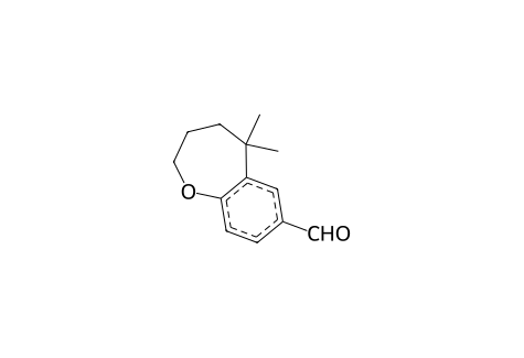 CC1(C)CCCOc2ccc(C=O)cc21